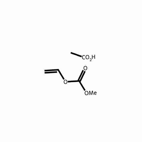 C=COC(=O)OC.CC(=O)O